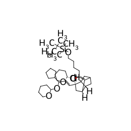 CC(C)(C)[Si](C)(C)OCCCCC(Cl)=C1C2C[C@@H]3[C@@H]1C[C@](/C=C/C(OC1CCCCO1)C1CCCC1)(O[C@H]1CCCCO1)[C@@H]3C2